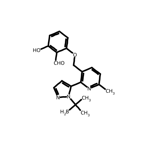 BC(C)(C)n1nccc1-c1nc(C)ccc1COc1cccc(O)c1C=O